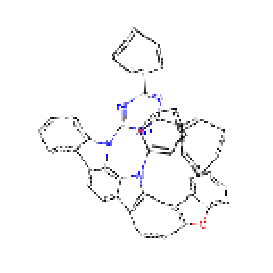 c1ccc(C2=NC(c3ccccc3)NC(n3c4ccccc4c4ccc5c6ccc7oc8ccccc8c7c6n(-c6ccccc6)c5c43)=N2)cc1